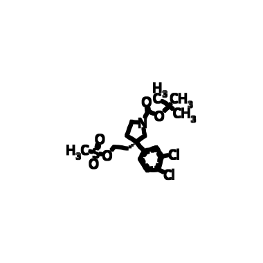 CC(C)(C)OC(=O)N1CC[C@](CCOS(C)(=O)=O)(c2ccc(Cl)c(Cl)c2)C1